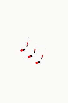 O=[C-]O.O=[C-]O.O=[C-]O.[Tl+3]